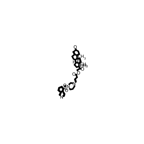 C[C@]12CCC(=O)C=C1CC[C@@H]1C2=CC[C@@]2(C)[C@H]1CC[C@]2(O)C(=O)COC(=O)C/C=C/N1CCCN(S(=O)(=O)c2cccc3cnccc23)CC1